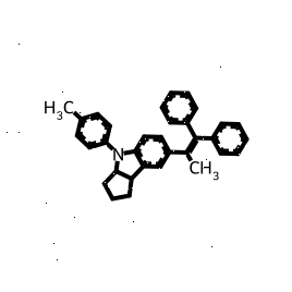 CC(=C(c1ccccc1)c1ccccc1)c1ccc2c(c1)C1CCCC1N2c1ccc(C)cc1